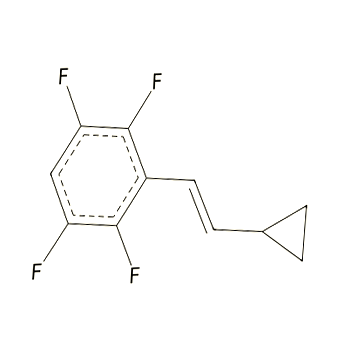 Fc1cc(F)c(F)c(C=CC2CC2)c1F